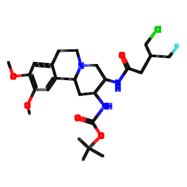 COc1cc2c(cc1OC)C1CC(NC(=O)OC(C)(C)C)C(NC(=O)CC(CF)CCl)CN1CC2